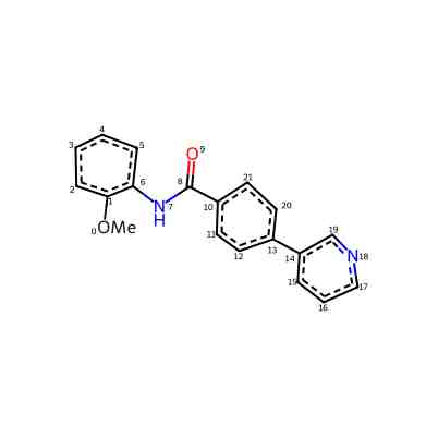 COc1ccccc1NC(=O)c1ccc(-c2cccnc2)cc1